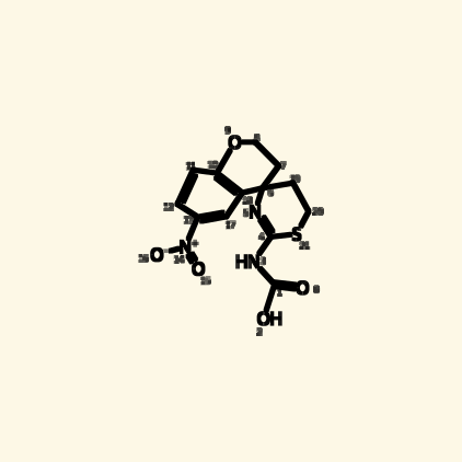 O=C(O)NC1=NC2(CCOc3ccc([N+](=O)[O-])cc32)CCS1